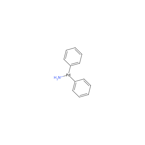 [NH2][Pd]([c]1ccccc1)[c]1ccccc1